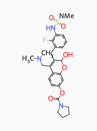 CNS(=O)(=O)Nc1cccc(CC2=C(CN(C)C)c3ccc(OC(=O)N4CCCC4)cc3OC2O)c1F